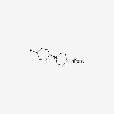 CCCCCC1CCN(C2CCC(F)CC2)CC1